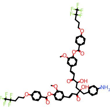 COc1cc(/C=C/C(=O)C(O)CC(O)(Cc2ccc(N)cc2)C(=O)/C=C/c2ccc(OC(=O)c3ccc(OCCCC(F)(F)C(F)(F)F)cc3)c(OC)c2)ccc1OC(=O)c1ccc(OCCCC(F)(F)C(F)(F)F)cc1